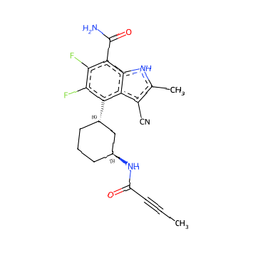 CC#CC(=O)N[C@H]1CCC[C@H](c2c(F)c(F)c(C(N)=O)c3[nH]c(C)c(C#N)c23)C1